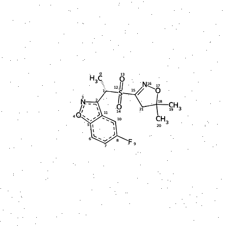 C[C@@H](c1noc2ccc(F)cc12)S(=O)(=O)C1=NOC(C)(C)C1